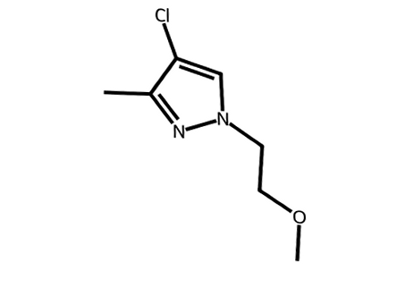 COCCn1cc(Cl)c(C)n1